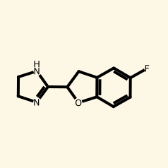 Fc1ccc2c(c1)CC(C1=NCCN1)O2